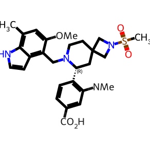 CNc1cc(C(=O)O)ccc1[C@H]1CC2(CCN1Cc1c(OC)cc(C)c3[nH]ccc13)CN(S(C)(=O)=O)C2